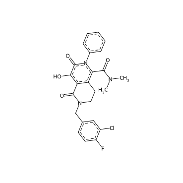 CN(C)C(=O)c1c2c(c(O)c(=O)n1-c1ccccc1)C(=O)N(Cc1ccc(F)c(Cl)c1)CC2